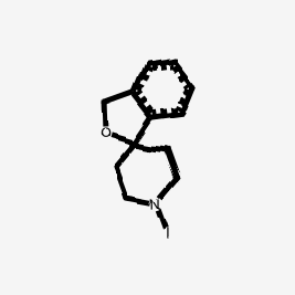 IN1CCC2(CC1)OCc1ccccc12